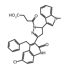 Cn1cc(C2CC(c3c(Cc4ccccc4)c4cc(Cl)ccc4[nH]c3=O)=NN2C(=O)CCC(=O)O)c2ccccc21